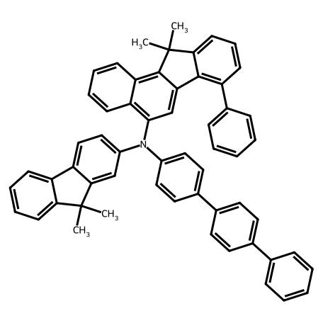 CC1(C)c2ccccc2-c2ccc(N(c3ccc(-c4ccc(-c5ccccc5)cc4)cc3)c3cc4c(c5ccccc35)C(C)(C)c3cccc(-c5ccccc5)c3-4)cc21